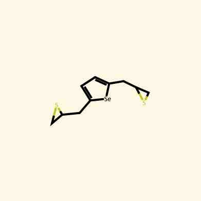 c1cc(CC2CS2)[se]c1CC1CS1